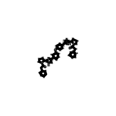 O=C(Cc1ccccc1)N1CCCC1c1nc(-c2cccc(Oc3ccc(-c4cnc(C5CCCN5C(=O)Cc5ccccc5)[nH]4)cc3)c2)c[nH]1